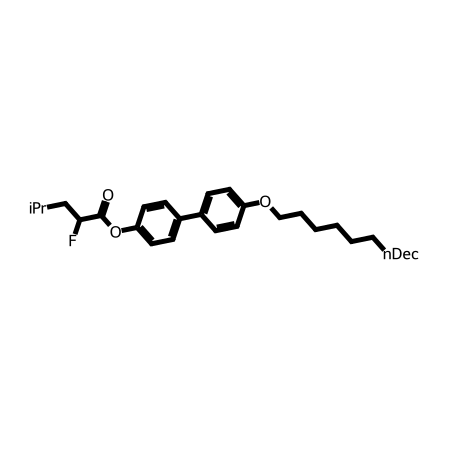 CCCCCCCCCCCCCCCCOc1ccc(-c2ccc(OC(=O)C(F)CC(C)C)cc2)cc1